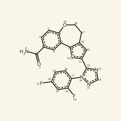 NC(=O)c1ccc2c(c1)-c1sc(-c3ncnn3-c3ccc(F)cc3F)cc1CCO2